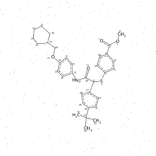 COC(=O)c1ccc(SC(C(=O)Nc2ccc(OCC3CCCCC3)cc2)c2ccc(C(C)(C)C)cc2)cc1